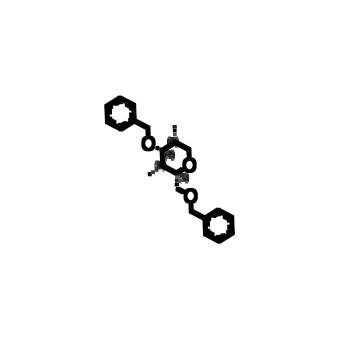 C[C@@H]1[C@H](OCc2ccccc2)[C@H](C)CO[C@@H]1COCc1ccccc1